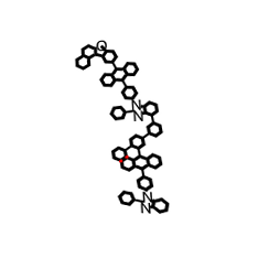 c1ccc(-c2ccc(-c3cccc(-c4cccc5c4nc(-c4ccccc4)n5-c4ccc(-c5c6ccccc6c(-c6ccc7oc8ccc9ccccc9c8c7c6)c6ccccc56)cc4)c3)cc2-c2c3ccccc3c(-c3ccc(-n4c(-c5ccccc5)nc5ccccc54)cc3)c3ccccc23)cc1